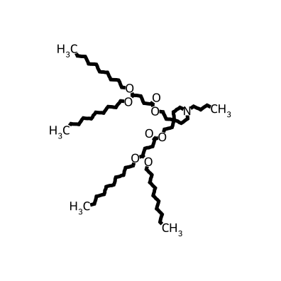 CCCCCCCCCCOC(CCC(=O)OCCC1(CCOC(=O)CCC(OCCCCCCCCCC)OCCCCCCCCCC)CCN(CCCC)CC1)OCCCCCCCCCC